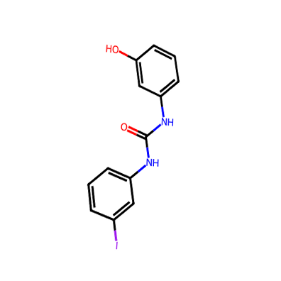 O=C(Nc1cccc(O)c1)Nc1cccc(I)c1